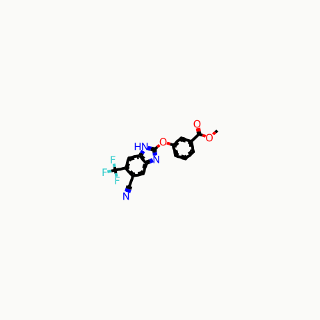 COC(=O)c1cccc(Oc2nc3cc(C#N)c(C(F)(F)F)cc3[nH]2)c1